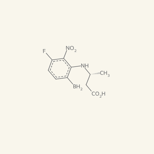 Bc1ccc(F)c([N+](=O)[O-])c1N[C@H](C)CC(=O)O